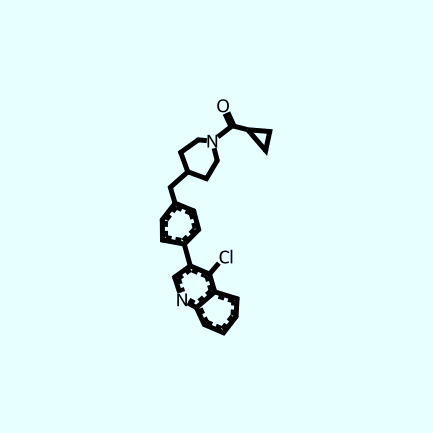 O=C(C1CC1)N1CCC(Cc2ccc(-c3cnc4ccccc4c3Cl)cc2)CC1